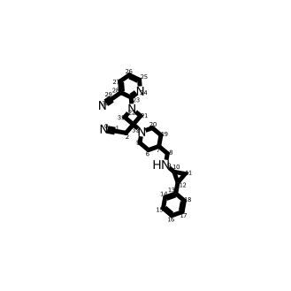 N#CCC1(N2CCC(CNC3CC3c3ccccc3)CC2)CN(c2ncccc2C#N)C1